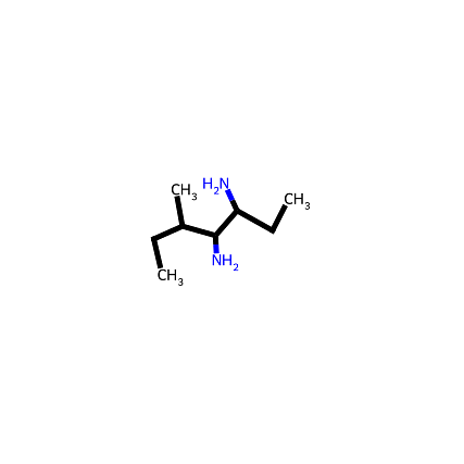 CCC(C)C(N)C(N)CC